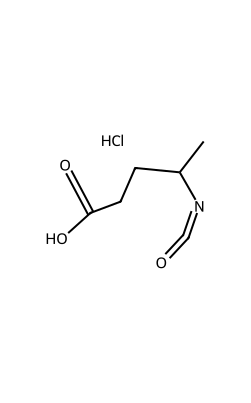 CC(CCC(=O)O)N=C=O.Cl